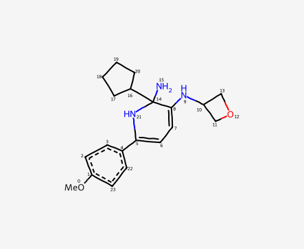 COc1ccc(C2=CC=C(NC3COC3)C(N)(C3CCCC3)N2)cc1